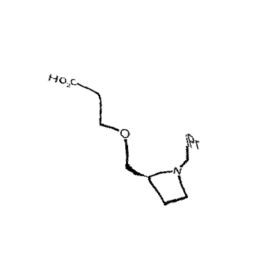 CC(C)N1CC[C@H]1COCCC(=O)O